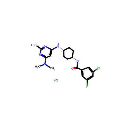 Cc1nc(N[C@H]2CC[C@@H](NC(=O)c3cc(F)cc(Cl)c3)CC2)cc(N(C)C)n1.Cl